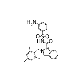 Cc1cc(C)c(CN2Cc3ccccc3[C@H]2C(=O)NS(=O)(=O)c2cccc(N)c2)c(C)c1